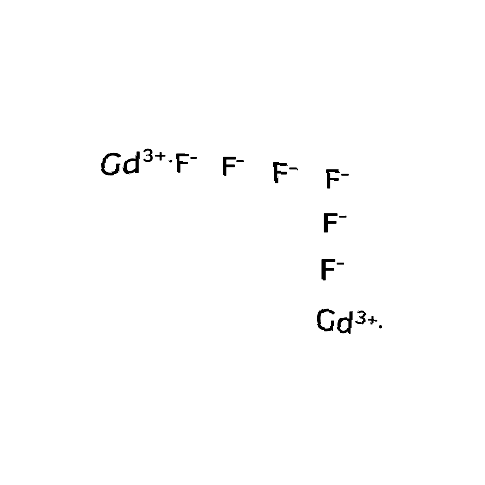 [F-].[F-].[F-].[F-].[F-].[F-].[Gd+3].[Gd+3]